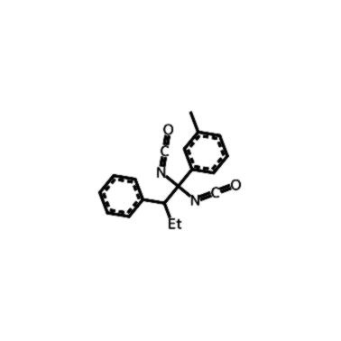 CCC(c1ccccc1)C(N=C=O)(N=C=O)c1cccc(C)c1